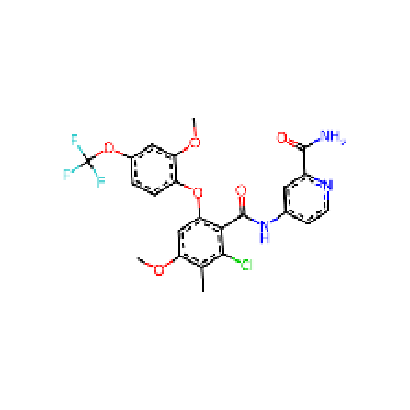 COc1cc(OC(F)(F)F)ccc1Oc1cc(OC)c(C)c(Cl)c1C(=O)Nc1ccnc(C(N)=O)c1